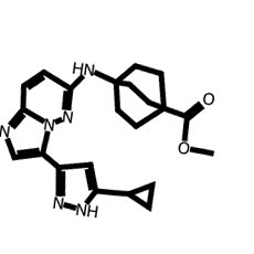 COC(=O)C12CCC(Nc3ccc4ncc(-c5cc(C6CC6)[nH]n5)n4n3)(CC1)CC2